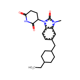 Cn1c(=O)n(C2CCC(=O)NC2=O)c2ccc(CC3CCC(CC(=O)O)CC3)cc21